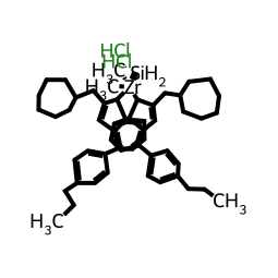 CCCc1ccc(-c2cccc3c2C=C(CC2CCCCCC2)[CH]3[Zr]([CH3])([CH3])(=[SiH2])[CH]2C(CC3CCCCCC3)=Cc3c(-c4ccc(CCC)cc4)cccc32)cc1.Cl.Cl